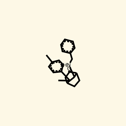 Cc1ccc(C2(C)C3CCC(C(=O)C3)C2NCc2ccccc2)cc1